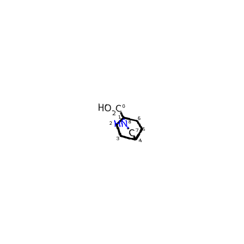 O=C(O)C12CCC(CC1)CN2